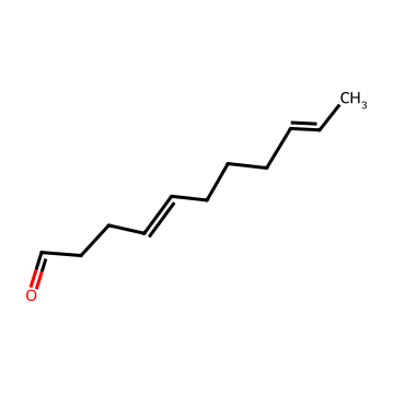 CC=CCCCC=CCCC=O